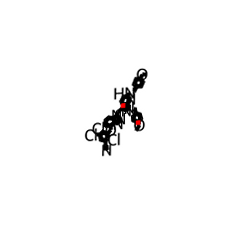 COc1ccc(CNc2ccc3c(Cn4nnc5c(Oc6cc(Cl)cc(C#N)c6Cl)c(Cl)ccc54)nn(Cc4ccc(OC)cc4)c3n2)cc1